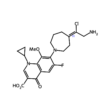 COc1c(N2CCC/C(=C(\Cl)CN)CC2)c(F)cc2c(=O)c(C(=O)O)cn(C3CC3)c12